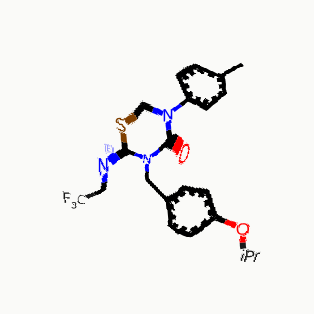 Cc1ccc(N2CS/C(=N/CC(F)(F)F)N(Cc3ccc(OC(C)C)cc3)C2=O)cc1